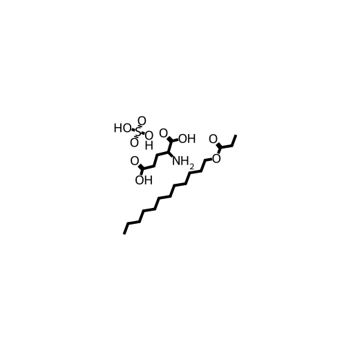 CCCCCCCCCCCCOC(=O)CC.NC(CCC(=O)O)C(=O)O.O=S(=O)(O)O